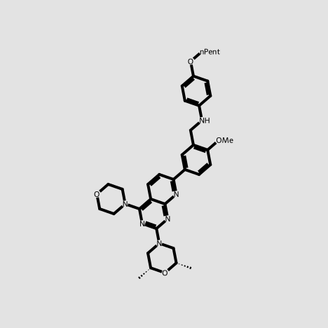 CCCCCOc1ccc(NCc2cc(-c3ccc4c(N5CCOCC5)nc(N5C[C@@H](C)O[C@@H](C)C5)nc4n3)ccc2OC)cc1